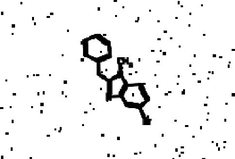 Cn1c(Cc2ccccc2)nc2cc(Br)ccc21